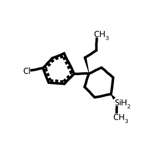 CCC[C@]1(c2ccc(Cl)cc2)CC[C@H]([SiH2]C)CC1